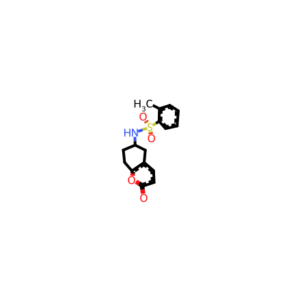 Cc1ccccc1S(=O)(=O)NC1CCc2oc(=O)ccc2C1